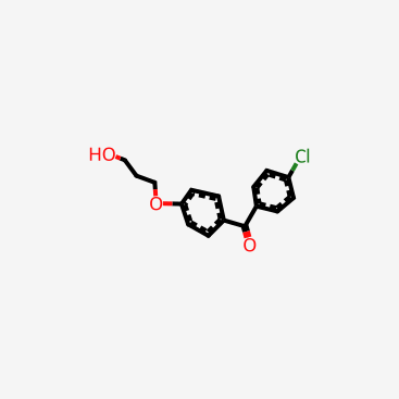 O=C(c1ccc(Cl)cc1)c1ccc(OCCCO)cc1